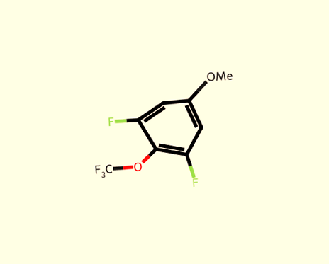 COc1cc(F)c(OC(F)(F)F)c(F)c1